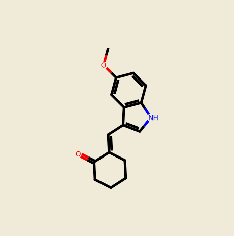 COc1ccc2[nH]cc(/C=C3\CCCCC3=O)c2c1